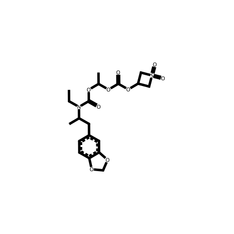 CCN(C(=O)OC(C)OC(=O)OC1CS(=O)(=O)C1)C(C)Cc1ccc2c(c1)OCO2